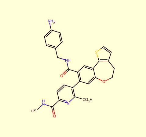 CCCNC(=O)c1ccc(-c2cc3c(cc2C(=O)NCc2ccc(N)cc2)-c2sccc2CCO3)c(C(=O)O)n1